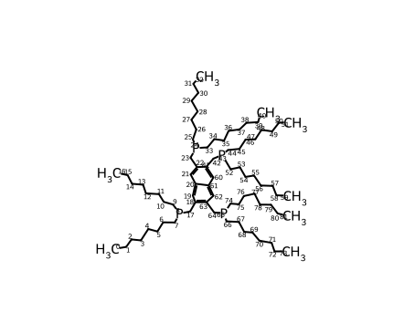 CCCCCCCCP(CCCCCCCC)Cc1cc2cc(CP(CCCCCCCC)CCCCCCCC)c(CP(CCCCCCCC)CCCCCCCC)cc2cc1CP(CCCCCCCC)CCCCCCCC